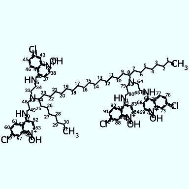 CCCCCCCCC(CCCCCCCCCCCCCCCC(CCCCCCC)N(CCNc1cc[n+](O)c2cc(Cl)ccc12)CCNc1cc[n+](O)c2cc(Cl)ccc12)N(CCNc1cc[n+](O)c2cc(Cl)ccc12)CCNc1cc[n+](O)c2cc(Cl)ccc12